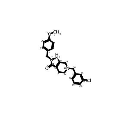 COc1ccc(Cn2[nH]c3c(c2=O)CCN(Cc2cccc(Cl)c2)C3)cc1